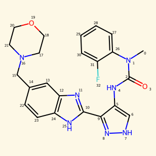 CN(C(=O)Nc1c[nH]nc1-c1nc2cc(CN3CCOCC3)ccc2[nH]1)c1ccccc1F